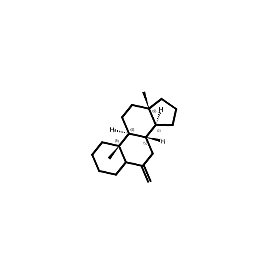 C=C1C[C@H]2[C@@H]3CCC[C@@]3(C)CC[C@@H]2[C@@]2(C)CCCCC12